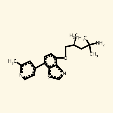 Cc1cc(-c2ccc(OC[C@@H](C)CC(C)(C)N)c3ncsc23)ccn1